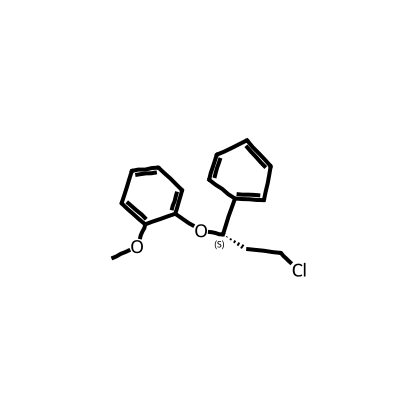 COc1ccccc1O[C@@H](CCCl)c1ccccc1